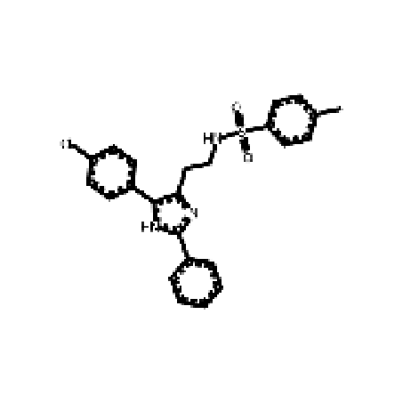 Cc1ccc(S(=O)(=O)NCCc2nc(-c3ccccc3)[nH]c2-c2ccc(Cl)cc2)cc1